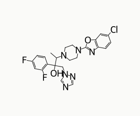 CC(N1CCN(c2nc3ccc(Cl)cc3o2)CC1)C(O)(Cn1cncn1)c1ccc(F)cc1F